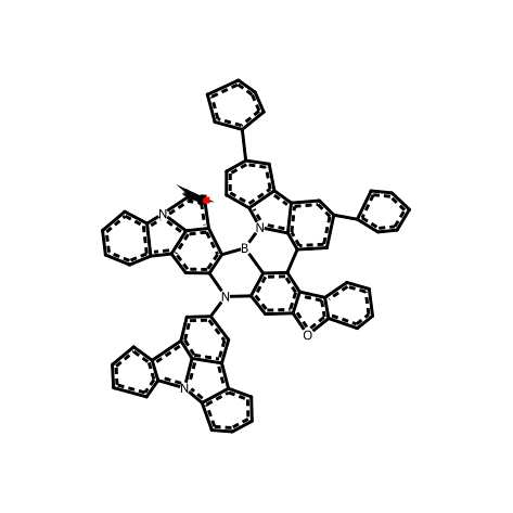 c1ccc(-c2ccc3c(c2)c2cc(-c4ccccc4)cc4c2n3B2c3c(cc5oc6ccccc6c5c3-4)N(c3cc4c5ccccc5n5c6ccccc6c(c3)c45)c3cc4c5ccccc5n5c6ccccc6c(c32)c45)cc1